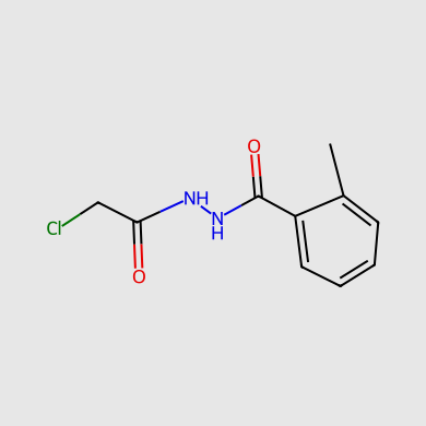 Cc1ccccc1C(=O)NNC(=O)CCl